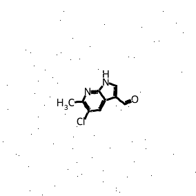 Cc1nc2[nH]cc(C=O)c2cc1Cl